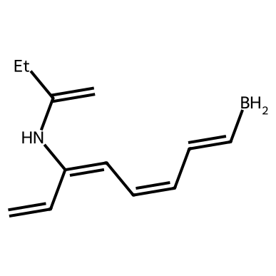 B/C=C/C=C\C=C(/C=C)NC(=C)CC